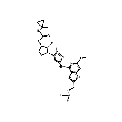 COc1cc2nc(COC(F)(F)F)cn2c(Nc2cc([C@H]3CC[C@@H](OC(=O)NC4(C)CC4)[C@@H]3F)[nH]n2)n1